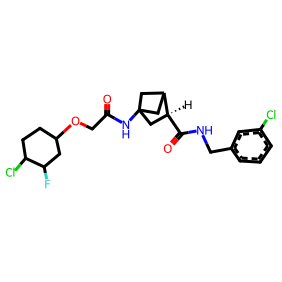 O=C(COC1CCC(Cl)C(F)C1)NC12CC(C1)[C@@H](C(=O)NCc1cccc(Cl)c1)C2